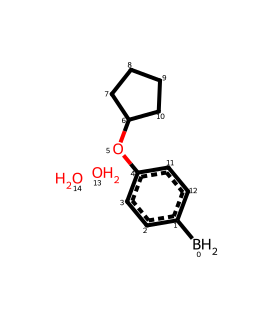 Bc1ccc(OC2CCCC2)cc1.O.O